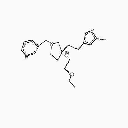 CCOCC[C@]1(CCc2csc(C)c2)CCN(Cc2cccnc2)C1